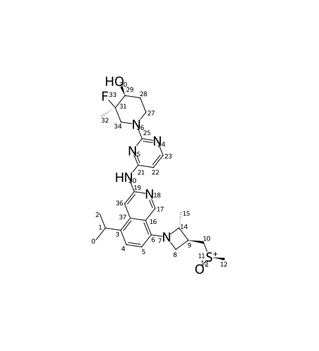 CC(C)c1ccc(N2C[C@H](C[S@@+](C)[O-])[C@H]2C)c2cnc(Nc3ccnc(N4CC[C@H](O)[C@](C)(F)C4)n3)cc12